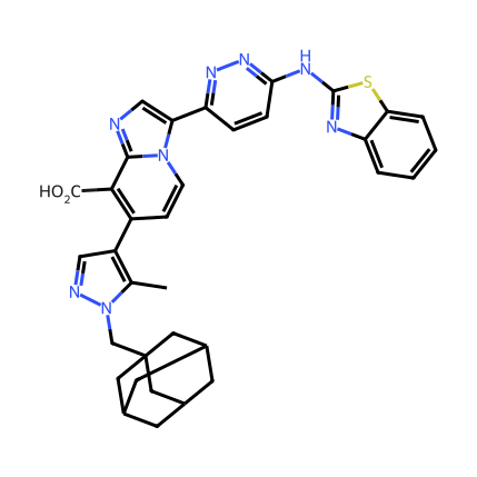 Cc1c(-c2ccn3c(-c4ccc(Nc5nc6ccccc6s5)nn4)cnc3c2C(=O)O)cnn1CC12CC3CC(CC(C3)C1)C2